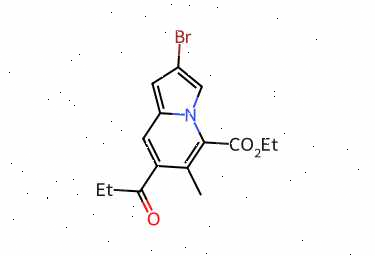 CCOC(=O)c1c(C)c(C(=O)CC)cc2cc(Br)cn12